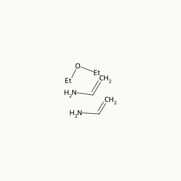 C=CN.C=CN.CCOCC